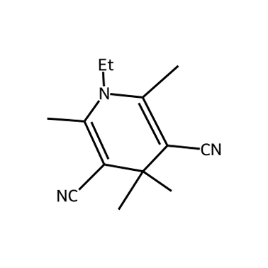 CCN1C(C)=C(C#N)C(C)(C)C(C#N)=C1C